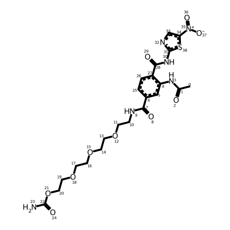 CC(=O)Nc1cc(C(=O)NCCOCCOCCOCCOC(N)=O)ccc1C(=O)Nc1ncc([N+](=O)[O-])s1